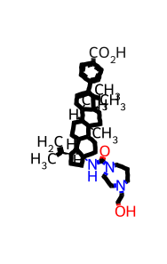 C=C(C)[C@@H]1CC[C@]2(NC(=O)N3CCCN(CCO)CC3)CCC3[C@H](CC[C@@H]4[C@@]5(C)CC=C(c6ccc(C(=O)O)cc6)C(C)(C)[C@@H]5CC[C@@]34C)[C@@H]12